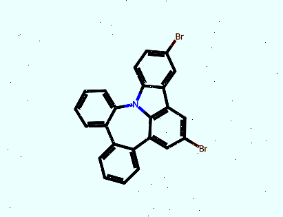 Brc1ccc2c(c1)c1cc(Br)cc3c1n2-c1ccccc1-c1ccccc1-3